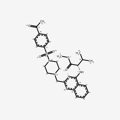 COC(=O)[C@@H](Nc1nc(CN2CCN(S(=O)(=O)c3ccc(C(C)=O)cc3)CC2)nc2ccccc12)C(C)C